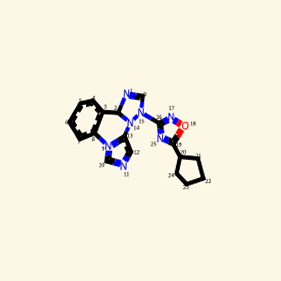 C1=NC2c3ccccc3-n3cncc3N2N1c1noc(C2CCCC2)n1